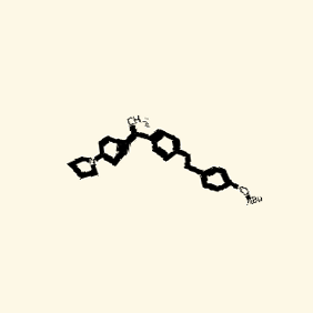 [CH2]C(c1ccc(CCc2ccc(OCCCC)cc2)cc1)c1ccc(N2CCCC2)cc1